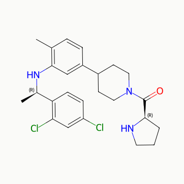 Cc1ccc(C2CCN(C(=O)[C@H]3CCCN3)CC2)cc1N[C@H](C)c1ccc(Cl)cc1Cl